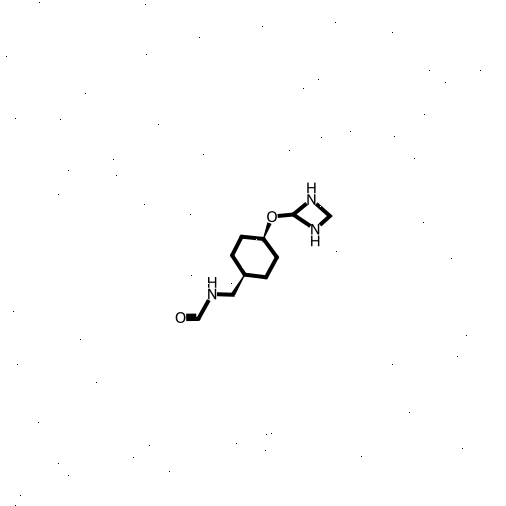 O=CNC[C@H]1CC[C@@H](OC2NCN2)CC1